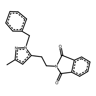 Cc1cc(CCN2C(=O)c3ccccc3C2=O)n(Cc2ccccc2)n1